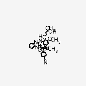 COc1cc(Nc2nc3ccccc3nc2NS(=O)(=O)c2ccc(C#N)cc2)c(OCCC(C)O)c(OC)c1